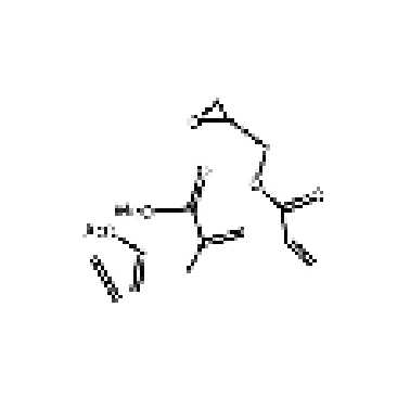 C=C.C=C(C)C(=O)OC.C=CC(=O)OCC1CO1.C=COC(C)=O